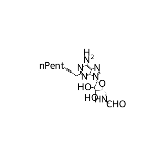 CCCCCC#CCc1nc(N)c2ncn([C@@H]3O[C@H](CNC=O)[C@@H](O)[C@H]3O)c2n1